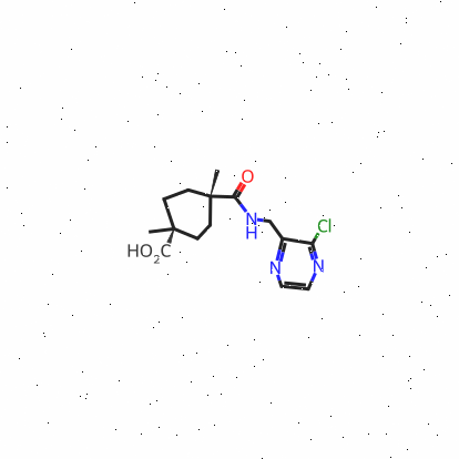 C[C@]1(C(=O)O)CC[C@](C)(C(=O)NCc2nccnc2Cl)CC1